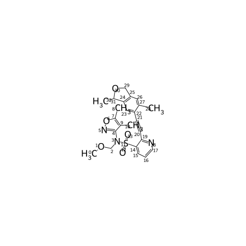 COCN(c1noc(C)c1C)S(=O)(=O)c1cccnc1C#Cc1cc2c(cc1C)COC2C